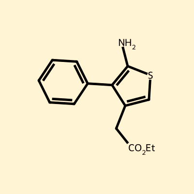 CCOC(=O)Cc1csc(N)c1-c1ccccc1